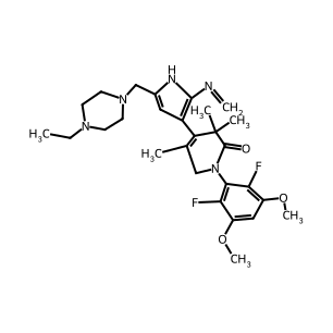 C=Nc1[nH]c(CN2CCN(CC)CC2)cc1C1=C(C)CN(c2c(F)c(OC)cc(OC)c2F)C(=O)C1(C)C